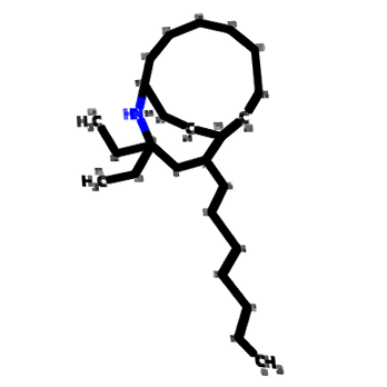 CCCCCCCC1CC(CC)(CC)NC2CCCCCCCC1CC2